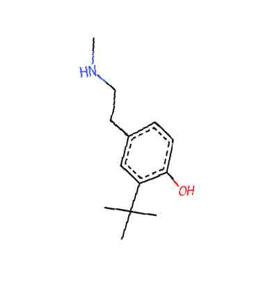 CNCCc1ccc(O)c(C(C)(C)C)c1